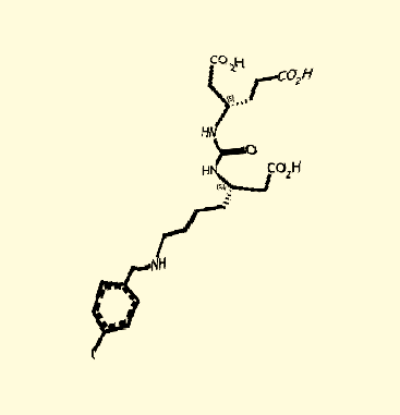 O=C(O)CC[C@@H](CC(=O)O)NC(=O)N[C@@H](CCCCNCc1ccc(I)cc1)CC(=O)O